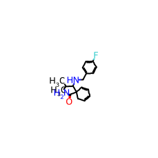 CC(C)C(NCc1ccc(F)cc1)C1(C(N)=O)C=CC=CC1